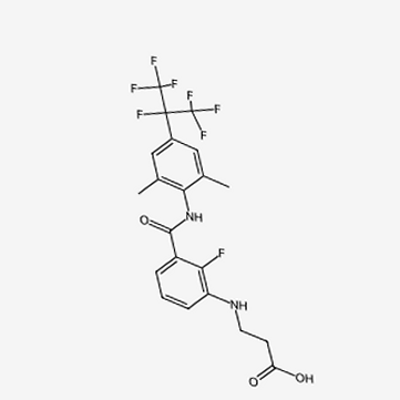 Cc1cc(C(F)(C(F)(F)F)C(F)(F)F)cc(C)c1NC(=O)c1cccc(NCCC(=O)O)c1F